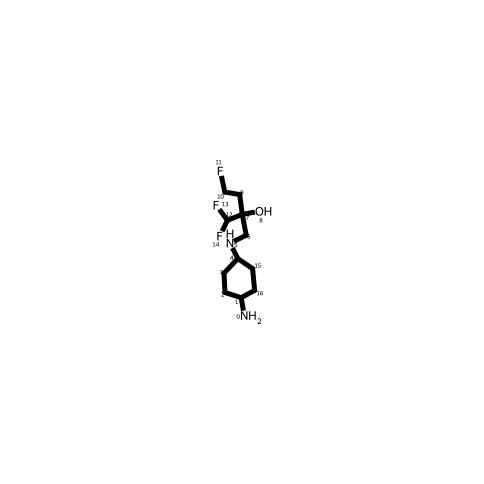 NC1CCC(NCC(O)(CCF)C(F)F)CC1